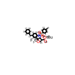 Cc1ccc(S(=O)(=O)N2c3ccc(Cc4ccccc4)cc3C3(C(F)(F)F)OCC(C(=O)OC(C)(C)C)C23)cc1